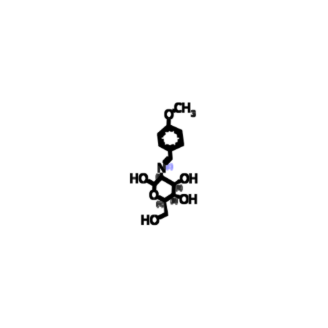 COc1ccc(/C=N/[C@H]2C(O)O[C@H](CO)[C@H](O)[C@@H]2O)cc1